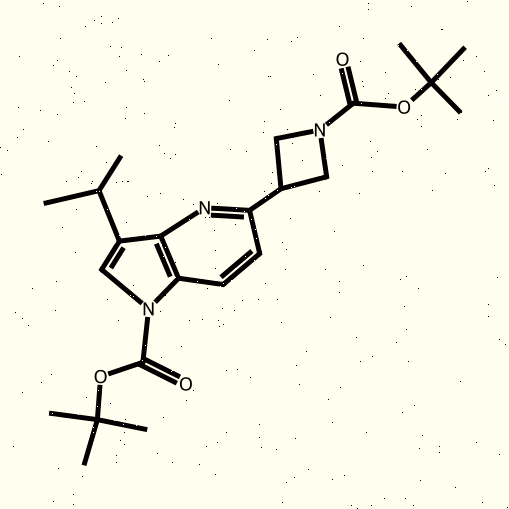 CC(C)c1cn(C(=O)OC(C)(C)C)c2ccc(C3CN(C(=O)OC(C)(C)C)C3)nc12